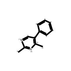 Cc1ncc(-c2ccccc2)c(C)n1